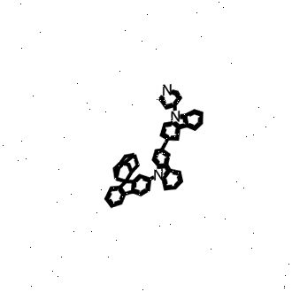 c1ccc2c(c1)-c1ccc(-n3c4ccccc4c4cc(-c5ccc6c(c5)c5ccccc5n6-c5ccncc5)ccc43)cc1C21C2CC3CC(C2)CC1C3